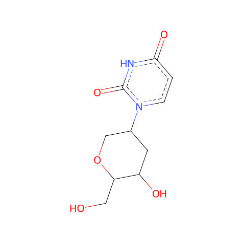 O=c1ccn(C2COC(CO)C(O)C2)c(=O)[nH]1